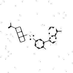 Cc1ccc(S(=O)(=O)NC23C4C5C2C2C3C4C52C(N)=O)cc1-c1cnc2c(N)ncnn12